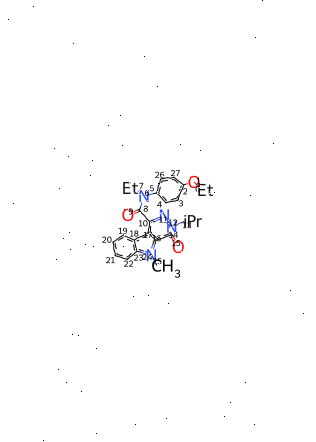 CCOc1ccc(N(CC)C(=O)c2nn(C(C)C)c(=O)c3c2c2ccccc2n3C)cc1